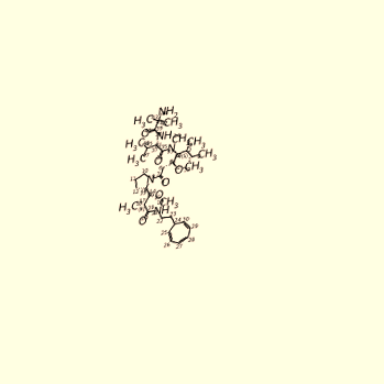 CC[C@H](C)[C@@H]([C@@H](CC(=O)N1CCC[C@H]1[C@H](OC)[C@@H](C)C(=O)NCCC1C=CC=CC=C1)OC)N(C)C(=O)[C@@H](NC(=O)C(C)(C)N)C(C)C